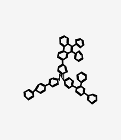 c1ccc(-c2ccc(-c3ccc(N(c4ccc(-c5ccc6c(c5)c(-c5ccccc5)c(-c5ccccc5)c5ccccc56)cc4)c4ccc(-c5ccc(-c6ccccc6)cc5-c5ccccc5)cc4)cc3)cc2)cc1